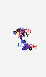 Cc1ncsc1-c1ccc([C@H](C)NC(=O)C2C[C@@H](O)CN2C(=O)[C@H](c2cc(CCCN3CCN(CCOc4cc(N5C6CCC5CN(c5cc(-c7ccccc7O)nnc5N)C6)ccn4)CC3)no2)C(C)C)cc1